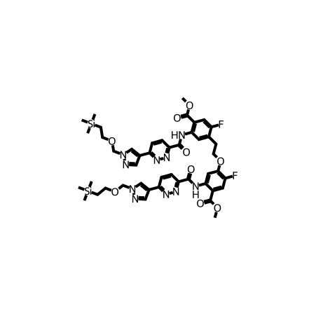 COC(=O)c1cc(F)c(CCOc2cc(NC(=O)c3ccc(-c4cnn(COCC[Si](C)(C)C)c4)nn3)c(C(=O)OC)cc2F)cc1NC(=O)c1ccc(-c2cnn(COCC[Si](C)(C)C)c2)nn1